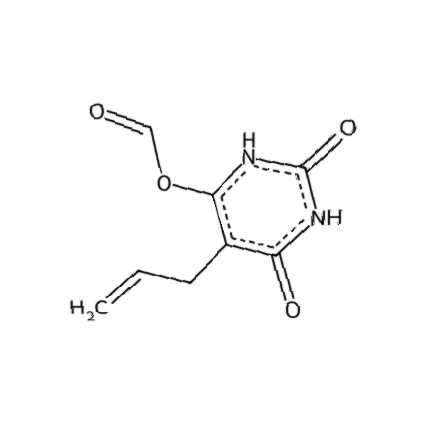 C=CCc1c(OC=O)[nH]c(=O)[nH]c1=O